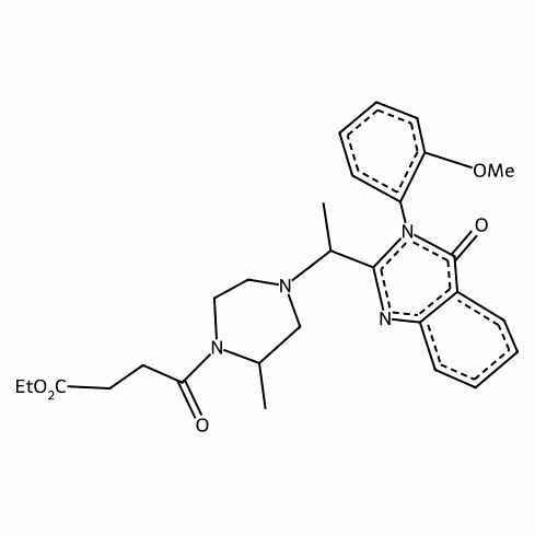 CCOC(=O)CCC(=O)N1CCN(C(C)c2nc3ccccc3c(=O)n2-c2ccccc2OC)CC1C